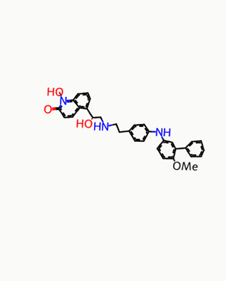 COc1ccc(Nc2ccc(CCNC[C@H](O)c3cccc4c3ccc(=O)n4O)cc2)cc1-c1ccccc1